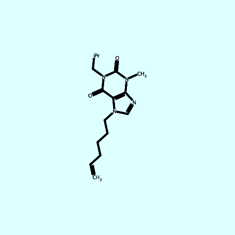 C=CCCCCn1cnc2c1c(=O)n(CC(C)C)c(=O)n2C